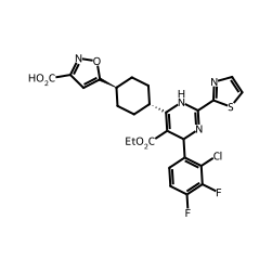 CCOC(=O)C1=C([C@H]2CC[C@H](c3cc(C(=O)O)no3)CC2)NC(c2nccs2)=NC1c1ccc(F)c(F)c1Cl